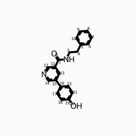 O=C(NCCc1ccccc1)c1cncc(-c2ccc(O)cc2)c1